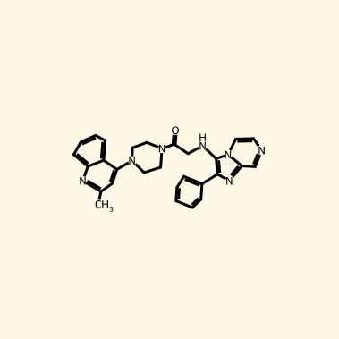 Cc1cc(N2CCN(C(=O)CNc3c(-c4ccccc4)nc4cnccn34)CC2)c2ccccc2n1